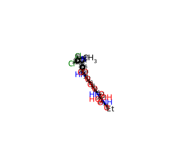 CCOCCNC(=O)[C@H](O)[C@@H](O)C(=O)NCCOCCOCCOCCNS(=O)(=O)c1ccc([C@@H]2CN(C)Cc3c(Cl)cc(Cl)cc32)cc1